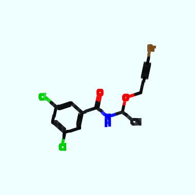 N#CC(NC(=O)c1cc(Cl)cc(Cl)c1)OCC#CBr